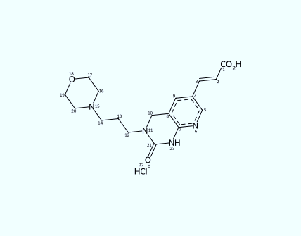 Cl.O=C(O)C=Cc1cnc2c(c1)CN(CCCN1CCOCC1)C(=O)N2